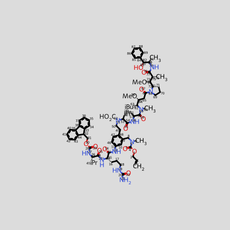 C=CCOC(=O)N(C)Cc1cc(NC(=O)[C@H](CCCNC(N)=O)NC(=O)[C@@H](NC(=O)OCC2c3ccccc3-c3ccccc32)C(C)C)ccc1CCN(C(=O)O)C(C(=O)NC(C(=O)N(C)C([C@@H](C)CC)[C@@H](CC(=O)N1CCC[C@H]1[C@H](OC)[C@@H](C)C(=O)N[C@H](C)[C@@H](O)c1ccccc1)OC)C(C)C)C(C)C